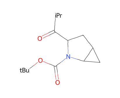 CC(C)C(=O)C1CC2CC2N1C(=O)OC(C)(C)C